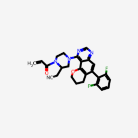 C=CC(=O)N1CCN(c2ncnc3cc(-c4c(F)cccc4F)c4c(c23)OCCC4)CC1CC#N